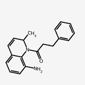 CC1C=Cc2cccc(N)c2N1C(=O)CCc1ccccc1